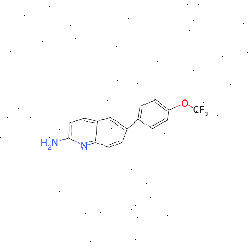 Nc1ccc2cc(-c3ccc(OC(F)(F)F)cc3)ccc2n1